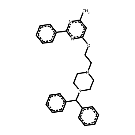 Cc1cc(OCCN2CCN(C(c3ccccc3)c3ccccc3)CC2)nc(-c2ccccc2)n1